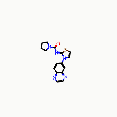 O=C(N=c1sccn1-c1ccc2nccnc2c1)N1CCCC1